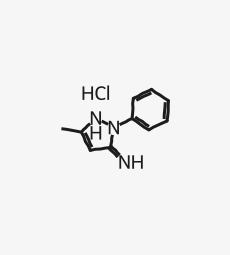 Cc1cc(=N)n(-c2ccccc2)[nH]1.Cl